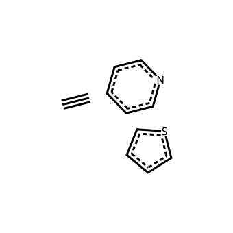 C#C.c1ccncc1.c1ccsc1